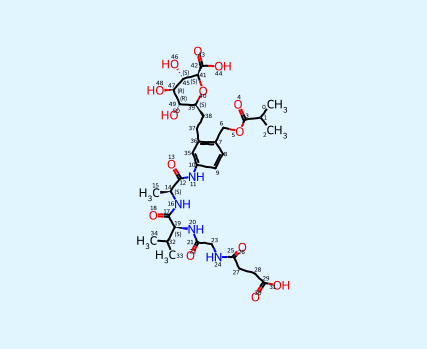 CC(C)C(=O)OCc1ccc(NC(=O)[C@H](C)NC(=O)[C@@H](NC(=O)CNC(=O)CCC(=O)O)C(C)C)cc1CC[C@@H]1O[C@H](C(=O)O)[C@@H](O)[C@H](O)[C@H]1O